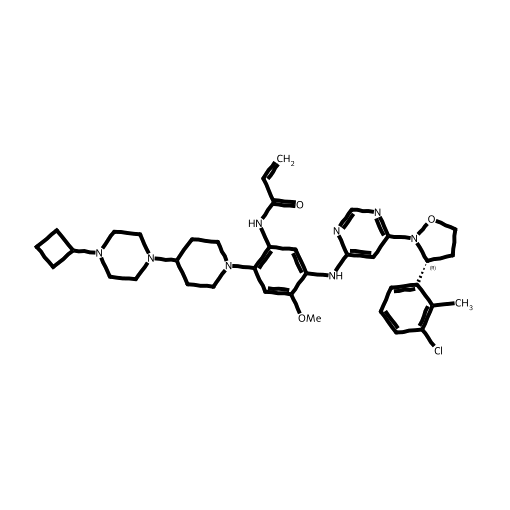 C=CC(=O)Nc1cc(Nc2cc(N3OCC[C@@H]3c3cccc(Cl)c3C)ncn2)c(OC)cc1N1CCC(N2CCN(C3CCC3)CC2)CC1